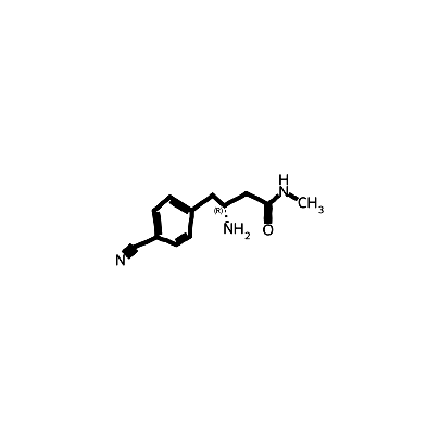 CNC(=O)C[C@H](N)Cc1ccc(C#N)cc1